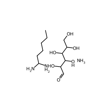 CCCCCC(N)N.N.O=CC(O)C(O)C(O)C(O)CO